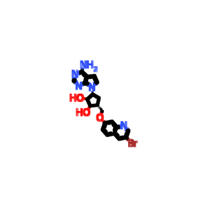 Nc1ncnc2c1ccn2[C@@H]1C[C@H](COc2ccc3cc(Br)cnc3c2)[C@@H](O)[C@H]1O